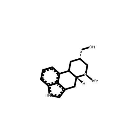 CCCN1C[C@@H](CO)CC2c3cccc4[nH]cc(c34)C[C@H]21